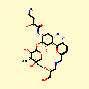 CN[C@@H]1[C@@H](O)[C@@H](O[C@@H]2[C@@H](O)[C@H](C3OC(CNC[C@H](O)CO)=CC[C@H]3N)[C@@H](N)C[C@H]2NC(=O)[C@@H](O)CCN)OC[C@]1(C)O